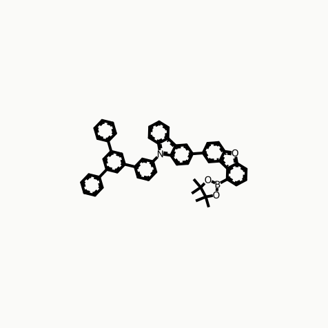 CC1(C)OB(c2cccc3oc4ccc(-c5ccc6c(c5)c5ccccc5n6-c5cccc(-c6cc(-c7ccccc7)cc(-c7ccccc7)c6)c5)cc4c23)OC1(C)C